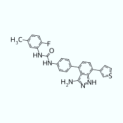 Cc1ccc(F)c(NC(=O)Nc2ccc(-c3ccc(-c4ccsc4)c4[nH]nc(N)c34)cc2)c1